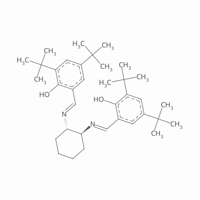 CC(C)(C)c1cc(C=N[C@H]2CCCC[C@@H]2/N=C/c2cc(C(C)(C)C)cc(C(C)(C)C)c2O)c(O)c(C(C)(C)C)c1